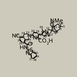 CNOC12CC(C)(C)CC(C)(CC(C)(Cn3ncc(-c4ccc(N5CCc6c(C#N)ccc(C(=O)Nc7nc8ccccc8s7)c6C5)nc4C(=O)O)c3C)C1)C2